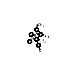 CSc1ccc2c(c1)c1cc(SC)cc3c1n2B1c2ccccc2N(c2ccccc2)c2cc(-c4ccc(C#N)cc4)c(C)c-3c21